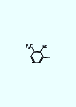 CCc1c(C)c[c]cc1C(F)(F)F